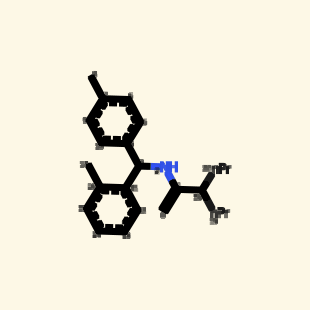 C=C(NC(c1ccc(C)cc1)c1ccccc1C)C(CCC)CCC